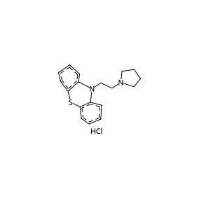 Cl.c1ccc2c(c1)Sc1ccccc1N2CCN1CCCC1